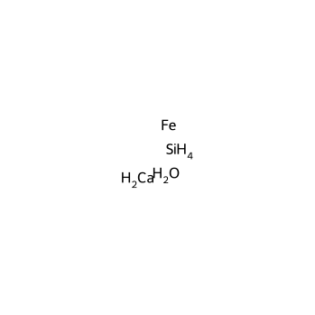 O.[CaH2].[Fe].[SiH4]